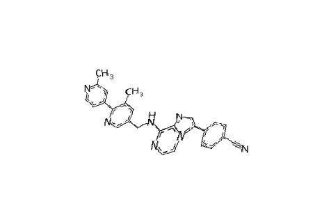 Cc1cc(-c2ncc(CNc3nccn4c(-c5ccc(C#N)cc5)cnc34)cc2C)ccn1